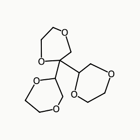 C1COC(C2(C3COCCO3)COCCO2)CO1